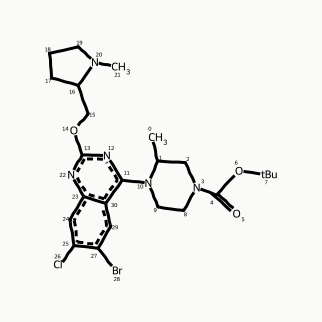 CC1CN(C(=O)OC(C)(C)C)CCN1c1nc(OCC2CCCN2C)nc2cc(Cl)c(Br)cc12